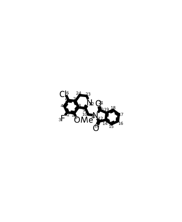 COc1c(F)cc(Cl)c2c1C(CN1C(=O)c3ccccc3C1=O)=NCC2